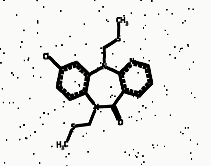 CSCN1C(=O)c2cccnc2N(CSC)c2cc(Cl)ccc21